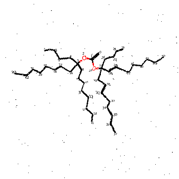 C=C(OC(CCCC)(CCCCCCCC)CCCCCCCC)OC(CCCC)(CCCCCCCC)CCCCCCCC